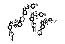 O=S(=O)(c1ccc(Br)cc1)n1ncc2cc(N3CCNCC3)ccc21.O=S(=O)(c1ccc(Br)cc1)n1ncc2ccc(N3CCNCC3)cc21.O=S(=O)(c1ccc(Br)s1)n1ncc2cc(N3CCNCC3)ccc21.O=S(=O)(c1ccccc1Br)n1ncc2ccc(N3CCNCC3)cc21